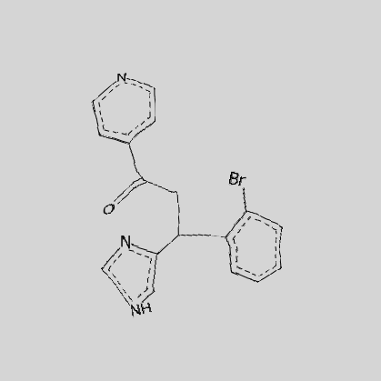 O=C(CC(c1c[nH]cn1)c1ccccc1Br)c1ccncc1